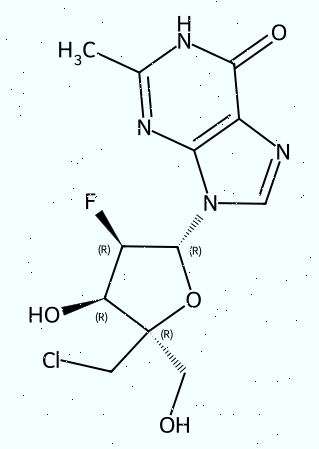 Cc1nc2c(ncn2[C@@H]2O[C@@](CO)(CCl)[C@@H](O)[C@H]2F)c(=O)[nH]1